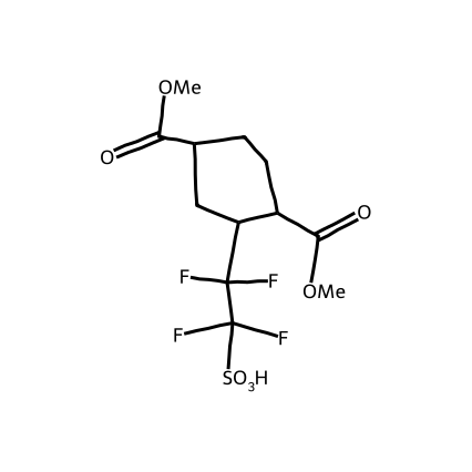 COC(=O)C1CCC(C(=O)OC)C(C(F)(F)C(F)(F)S(=O)(=O)O)C1